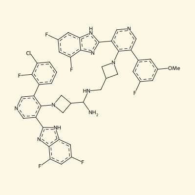 COc1cc(F)cc(-c2cncc(-c3nc4c(F)cc(F)cc4[nH]3)c2N2CC(CNC(N)C3CN(c4c(-c5nc6c(F)cc(F)cc6[nH]5)cncc4-c4cccc(Cl)c4F)C3)C2)c1